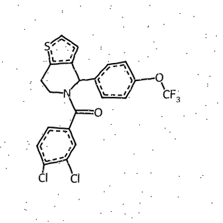 O=C(c1ccc(Cl)c(Cl)c1)N1CCc2sccc2C1c1ccc(OC(F)(F)F)cc1